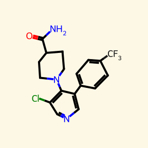 NC(=O)C1CCN(c2c(Cl)cncc2-c2ccc(C(F)(F)F)cc2)CC1